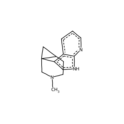 CN1CCC2CC2(c2c[nH]c3ncccc23)C1